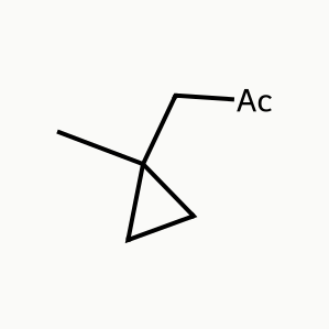 [CH2]C(=O)CC1(C)CC1